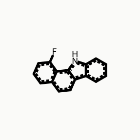 Fc1cccc2ccc3c4ccccc4[nH]c3c12